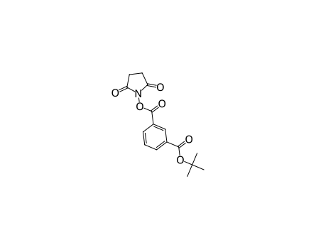 CC(C)(C)OC(=O)c1cccc(C(=O)ON2C(=O)CCC2=O)c1